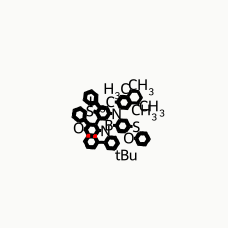 Cc1cc2c(cc1N1c3cc4c(cc3B3c5c1cc1c(sc6ccccc61)c5-c1c(ccc5oc6ccccc6c15)N3c1ccc(C(C)(C)C)cc1-c1ccccc1)Oc1ccccc1S4)C(C)(C)CCC2(C)C